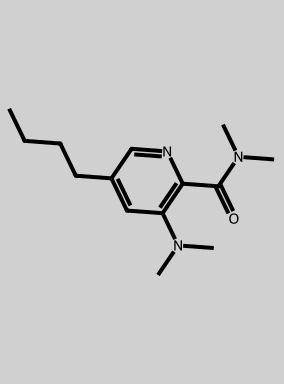 CCCCc1cnc(C(=O)N(C)C)c(N(C)C)c1